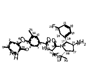 Cc1cc(Oc2ccc(C(=O)N[C@H](C)C(=O)N3[C@H](C4=CC=CC(F)C4)[C@@H](N)C[C@@H]3C(C)(C)C#N)cc2C)c(=O)[nH]n1